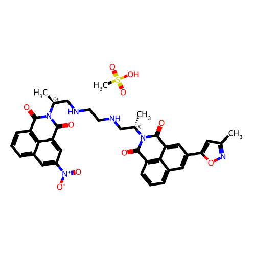 CS(=O)(=O)O.Cc1cc(-c2cc3c4c(cccc4c2)C(=O)N([C@@H](C)CNCCNC[C@H](C)N2C(=O)c4cccc5cc([N+](=O)[O-])cc(c45)C2=O)C3=O)on1